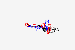 CC(C)(C)OC(=O)Nc1cccc(NC(=O)c2cccc(NC(=O)/C=C/CN3CCOCC3)c2)c1